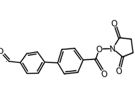 O=[C]c1ccc(-c2ccc(C(=O)ON3C(=O)CCC3=O)cc2)cc1